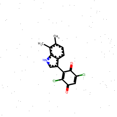 Cc1ccc2c(C3=C(Cl)C(=O)C=C(Cl)C3=O)c[nH]c2c1C